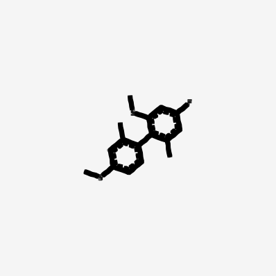 CSc1[c]c(C)c(-c2c(C)cc(F)cc2SC)cc1